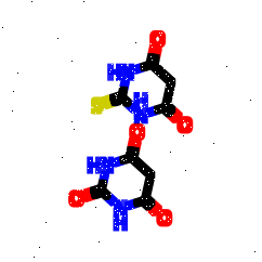 O=C1CC(=O)NC(=O)N1.O=C1CC(=O)NC(=S)N1